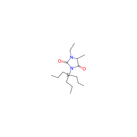 CCC[Si](CCC)(CCC)N1C(=O)C(C)N(CC)C1=O